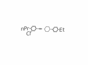 CCCc1ccc(C#C[C@H]2CC[C@H](c3ccc(CC)cc3)CC2)cc1Cl